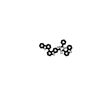 c1ccc(C2NC(c3ccc4c(c3)sc3cccc(-c5cccc6c5sc5ccccc56)c34)NC(c3cccc4oc5ccccc5c34)N2)cc1